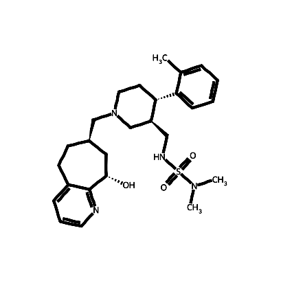 Cc1ccccc1[C@H]1CCN(C[C@@H]2CCc3cccnc3[C@@H](O)C2)C[C@@H]1CNS(=O)(=O)N(C)C